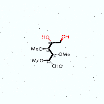 CO[C@H]([C@H](OC)[C@H](C=O)OC)[C@H](O)CO